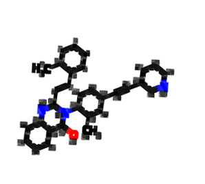 Cc1ccccc1/C=C/c1nc2ccccc2c(=O)n1-c1ccc(C#Cc2cccnc2)cc1C